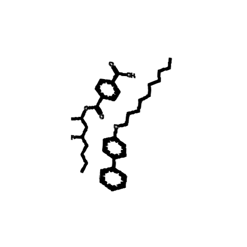 CCCCC(F)CC(C)OC(=O)c1ccc(C(=O)O)cc1.CCCCCCCCCCOc1ccc(-c2ccccc2)cc1